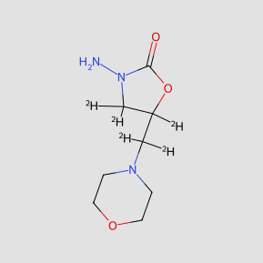 [2H]C([2H])(N1CCOCC1)C1([2H])OC(=O)N(N)C1([2H])[2H]